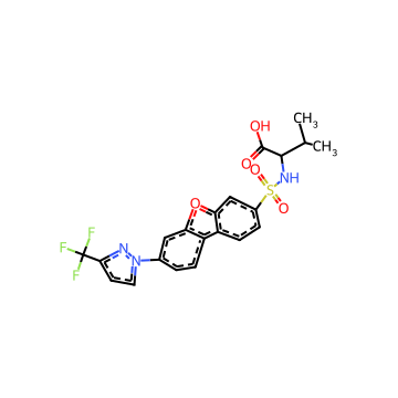 CC(C)C(NS(=O)(=O)c1ccc2c(c1)oc1cc(-n3ccc(C(F)(F)F)n3)ccc12)C(=O)O